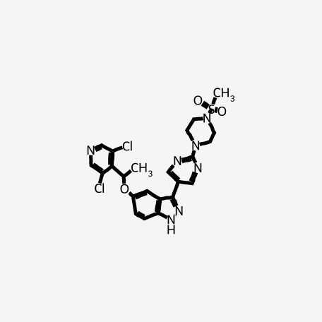 CC(Oc1ccc2[nH]nc(-c3cnc(N4CCN(S(C)(=O)=O)CC4)nc3)c2c1)c1c(Cl)cncc1Cl